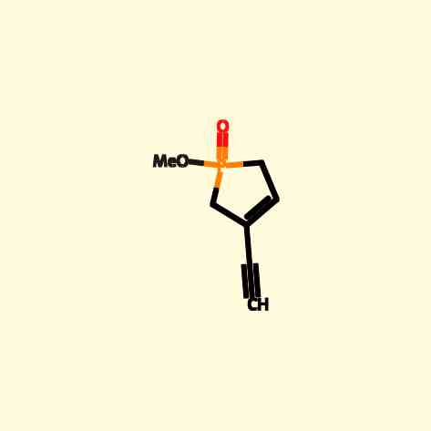 C#CC1=CCP(=O)(OC)C1